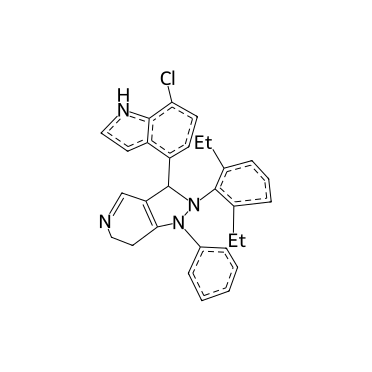 CCc1cccc(CC)c1N1C(c2ccc(Cl)c3[nH]ccc23)C2=C(CCN=C2)N1c1ccccc1